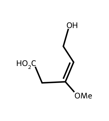 COC(=CCO)CC(=O)O